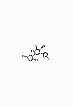 N#Cc1c(-c2ccc(Br)s2)cc(-c2cc(Br)ccc2O)[nH]c1=O